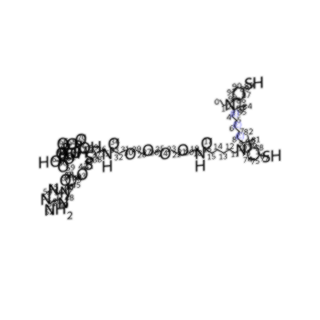 CCN1/C(=C/C=C/C=C/C2=[N+](CCCCCC(=O)NCCOCCOCCOCCOCCC(=O)NCC(C)(C)SSCO[C@@H]3C[C@H](n4cnc5c(N)ncnc54)O[C@@H]3COP(=O)(O)OP(=O)(O)OP(=O)(O)O)c3ccc(S)cc3C2(C)C)C(C)(C)c2cc(S)ccc21